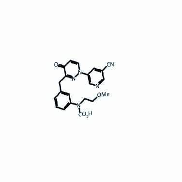 COCCN(C(=O)O)c1cccc(Cc2nn(-c3cncc(C#N)c3)ccc2=O)c1